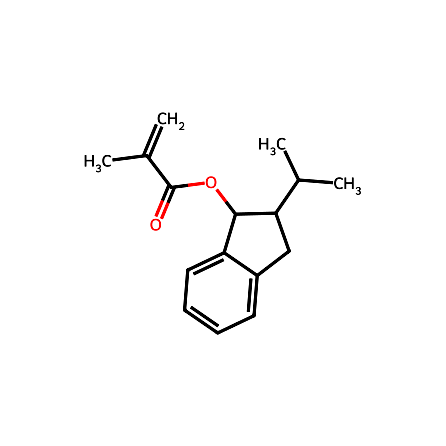 C=C(C)C(=O)OC1c2ccccc2CC1C(C)C